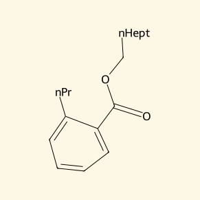 CCCCCCCCOC(=O)c1ccccc1CCC